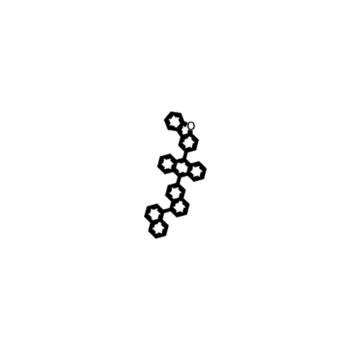 c1ccc2c(-c3cccc4cc(-c5c6ccccc6c(-c6ccc7oc8ccccc8c7c6)c6ccccc56)ccc34)cccc2c1